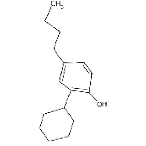 CCCCc1ccc(O)c(C2CCCCC2)c1